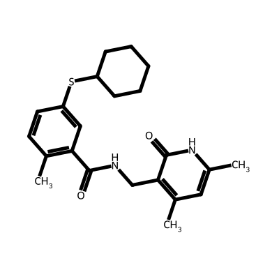 Cc1cc(C)c(CNC(=O)c2cc(SC3CCCCC3)ccc2C)c(=O)[nH]1